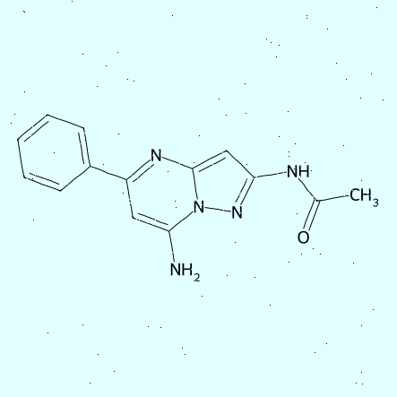 CC(=O)Nc1cc2nc(-c3ccccc3)cc(N)n2n1